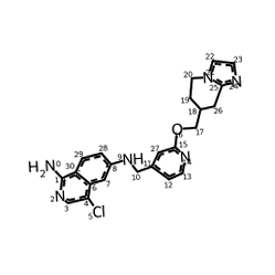 Nc1ncc(Cl)c2cc(NCc3ccnc(OCC4CCn5ccnc5C4)c3)ccc12